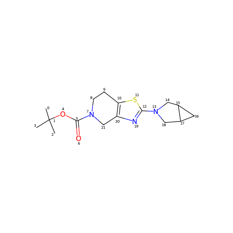 CC(C)(C)OC(=O)N1CCc2sc(N3CC4CC4C3)nc2C1